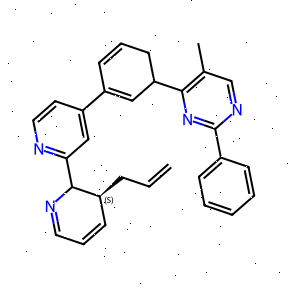 C=CC[C@H]1C=CC=NC1c1cc(C2=CC(c3nc(-c4ccccc4)ncc3C)CC=C2)ccn1